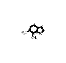 Cc1ccc2ccsc2c1C